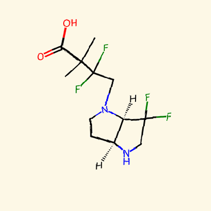 CC(C)(C(=O)O)C(F)(F)CN1CC[C@@H]2NCC(F)(F)[C@@H]21